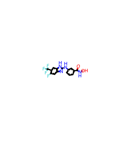 O=C(NO)c1cccc(Nc2nc3cc(F)c(C(F)(F)F)cc3[nH]2)c1